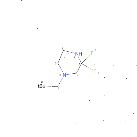 CC(C)(C)CN1CCNC(F)(F)C1